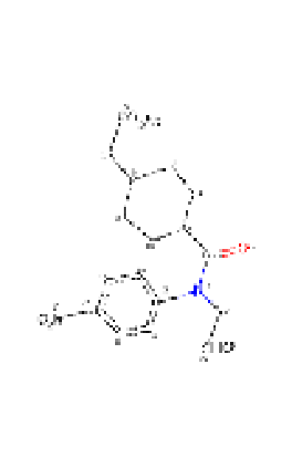 CCOC(=O)CC1CCC(C(=O)N(CC=O)c2ccc([N+](=O)[O-])cc2)CC1